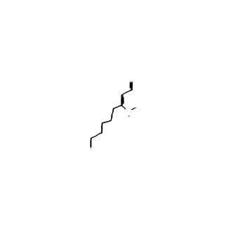 CCCCCCC(=CC=O)N(C)C